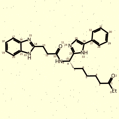 CCC(=O)CCCCC[C@H](NC(=O)CCc1nc2ccccc2[nH]1)c1ncc(-c2ccccc2)[nH]1